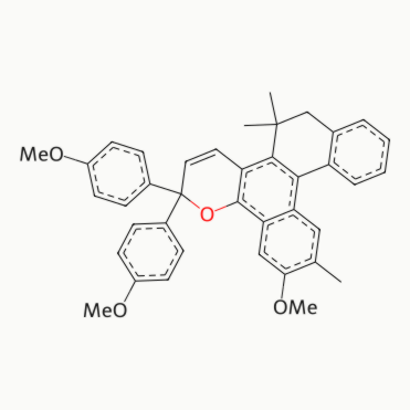 COc1ccc(C2(c3ccc(OC)cc3)C=Cc3c4c(c5cc(C)c(OC)cc5c3O2)-c2ccccc2CC4(C)C)cc1